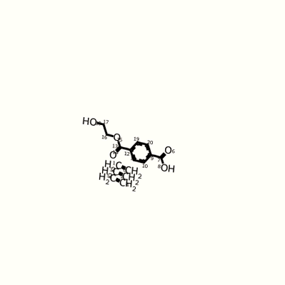 C=C.C=C.C=C.O=C(O)c1ccc(C(=O)OCCO)cc1